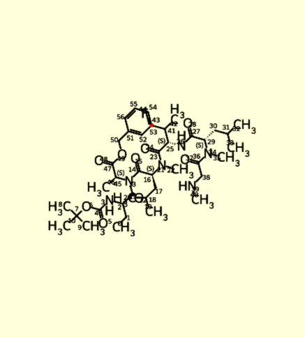 CCC(NC(=O)OC(C)(C)C)C(=O)N(C(=O)[C@H](CC(C)C)N(C)C(=O)[C@@H](NC(=O)[C@H](CC(C)C)N(C)C(=O)CNC)C(C)CF)[C@@H](C)C(=O)OCc1ccccc1